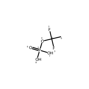 CC(F)(F)OP(=O)(O)O